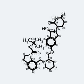 CC(C)(C)OC(=O)N1CCc2cccc(CN3CCCC[C@@H]3COc3ccc4c(c3)CN(C3CCC(=O)NC3=O)C4O)c21